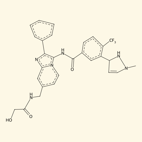 CN1C=CC(c2cc(C(=O)Nc3c(-c4ccccc4)nc4cc(CNC(=O)CO)ccn34)ccc2C(F)(F)F)N1